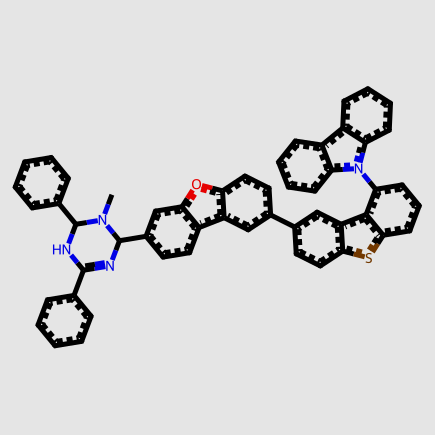 CN1C(c2ccc3c(c2)oc2ccc(-c4ccc5sc6cccc(-n7c8ccccc8c8ccccc87)c6c5c4)cc23)N=C(c2ccccc2)NC1c1ccccc1